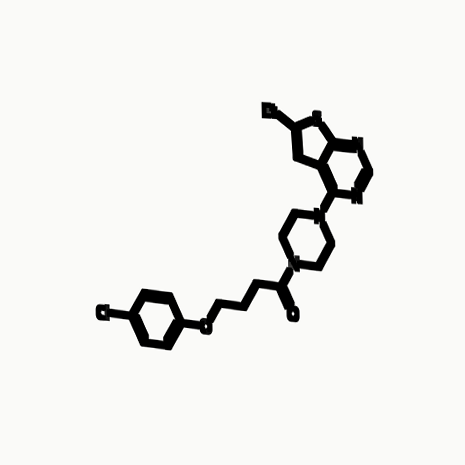 CCc1cc2c(N3CCN(C(=O)CCCOc4ccc(Cl)cc4)CC3)ncnc2s1